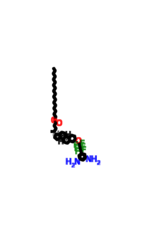 CCCCCCCCCCCCCCCCCCOC(=O)CCC(C)[C@H]1CC[C@H]2[C@@H]3CCC4CC(OC(F)(F)C(F)(F)C(F)(F)c5cc(N)cc(N)c5)CC[C@]4(C)[C@H]3CC[C@]12C